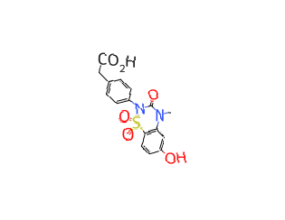 CN1C(=O)N(c2ccc(CC(=O)O)cc2)S(=O)(=O)c2ccc(O)cc21